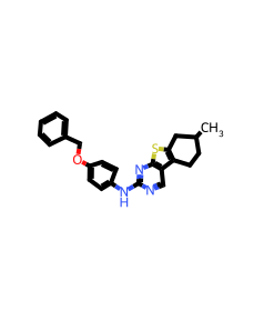 CC1CCc2c(sc3nc(Nc4ccc(OCc5ccccc5)cc4)ncc23)C1